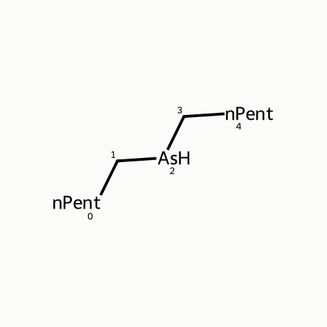 CCCCCC[AsH]CCCCCC